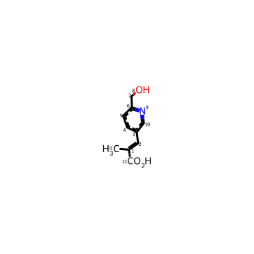 CC(=Cc1ccc(CO)nc1)C(=O)O